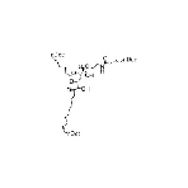 CCCCCCCC/C=C\CCCCCCCC(=O)C(O)[C@H](COP(=O)(O)OCCNC(=O)CCCCCCCCCCCCC)OC(=O)CCCCCCCCCCCCCCC